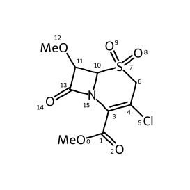 COC(=O)C1=C(Cl)CS(=O)(=O)C2C(OC)C(=O)N12